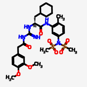 COc1ccc(CC(=O)NC(=N)N[C@H](CC2CCCCC2)C(=O)Nc2cc(N(S(C)(=O)=O)S(C)(=O)=O)ccc2C)cc1OC